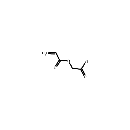 C=CC(=O)OCC(=O)Cl